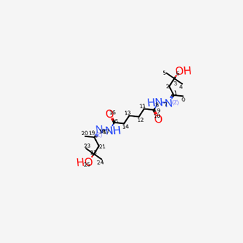 C/C(CC(C)(C)O)=N/NC(=O)CCCCC(=O)N/N=C(/C)CC(C)(C)O